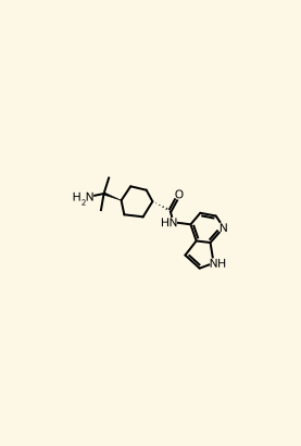 CC(C)(N)[C@H]1CC[C@H](C(=O)Nc2ccnc3[nH]ccc23)CC1